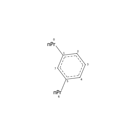 C[C]Cc1cccc(C[C]C)c1